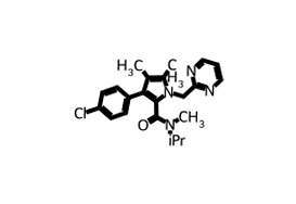 Cc1c(-c2ccc(Cl)cc2)c(C(=O)N(C)C(C)C)n(Cc2ncccn2)c1C